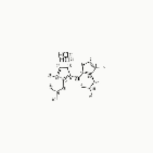 CC1=CC[C]([Zr][C]2=C(CC(C)C)C(C)=CC2)=C1CC(C)C.Cl.Cl